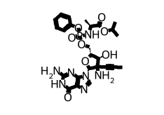 CC#CC1(N)[C@@H](O)[C@@H](COP(=O)(N[C@@H](C)C(=O)OC(C)C)Oc2ccccc2)O[C@H]1n1cnc2c(=O)[nH]c(N)nc21